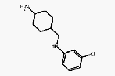 NC1CCC(CNc2cccc(Cl)c2)CC1